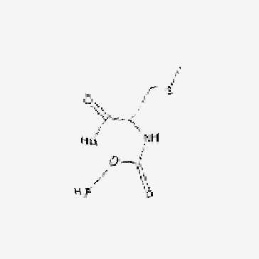 CSC[C@H](NC(=O)OP)C(=O)O